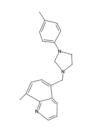 Cc1ccc(N2CCN(Cc3ccc(C)c4ncccc34)C2)cc1